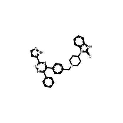 O=c1[nH]c2ccccc2n1C1CCN(Cc2ccc(-c3nc(-c4ccn[nH]4)nnc3-c3ccccc3)cc2)CC1